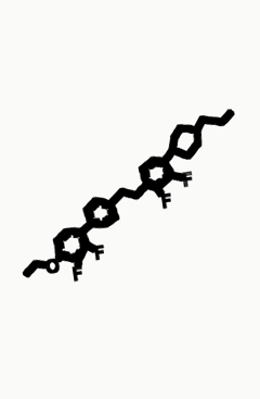 CCCC1CCC(c2ccc(CCc3ccc(-c4ccc(OCC)c(F)c4F)cc3)c(F)c2F)CC1